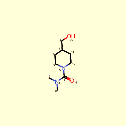 CN(C)C(=O)N1CCC(CO)CC1